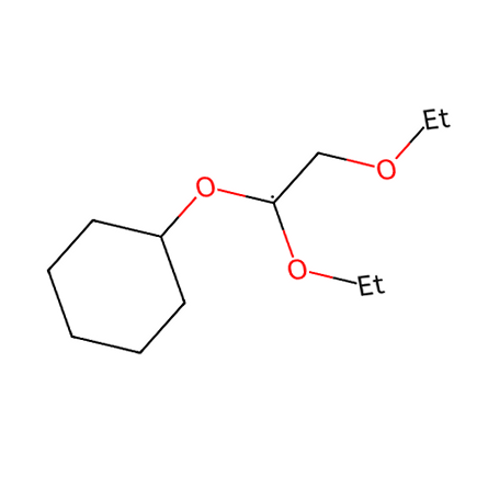 CCOC[C](OCC)OC1CCCCC1